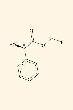 O=C(OCF)[C@H](O)c1ccccc1